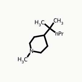 CCCC(C)(C)C1CCN(C)CC1